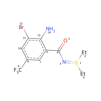 CCS(CC)=NC(=O)c1cc(C(F)(F)F)cc(Br)c1N